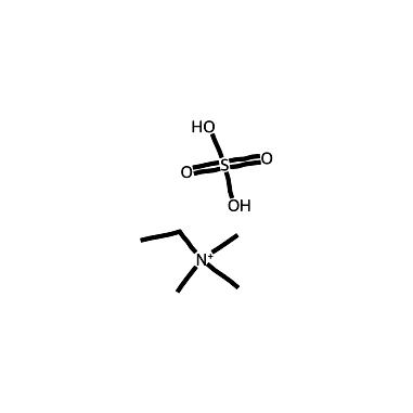 CC[N+](C)(C)C.O=S(=O)(O)O